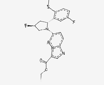 CCOC(=O)c1cnc2ccc(N3C[C@@H](F)C[C@@H]3c3cc(F)ccc3SC)nn12